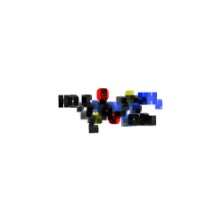 CC(C)CO/N=C(/C(=O)NC1C(=O)N2C(C(=O)O)=CC(C)S[C@H]12)c1csc(N)n1